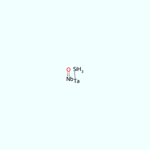 [O]=[Nb].[SiH3][Ta]